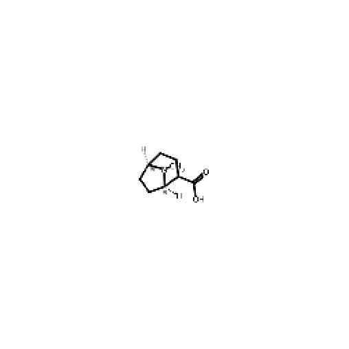 CN1[C@@H]2CCC(C(=O)O)[C@H]1CC2